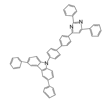 c1ccc(-c2ccc3c(c2)c2cc(-c4ccccc4)ccc2n3-c2ccc(-c3ccc(-c4cc(-c5ccccc5)nc(-c5ccccc5)n4)cc3)cc2)cc1